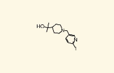 CC(C)(O)C1CCN(Cc2ccc(I)nc2)CC1